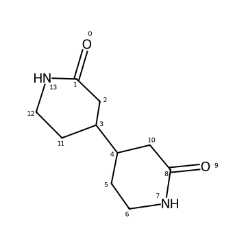 O=C1CC(C2CCNC(=O)C2)CCN1